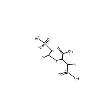 CC(CC(C(=O)O)C(C)C(=O)O)CS(=O)(=O)O